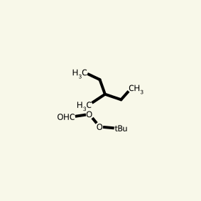 CC(C)(C)OOC=O.CCC(C)CC